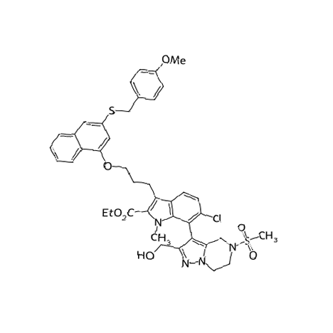 CCOC(=O)c1c(CCCOc2cc(SCc3ccc(OC)cc3)cc3ccccc23)c2ccc(Cl)c(-c3c(CO)nn4c3CN(S(C)(=O)=O)CC4)c2n1C